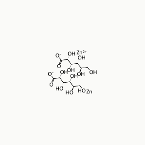 O=C([O-])[C@H](O)[C@@H](O)[C@H](O)[C@H](O)CO.O=C([O-])[C@H](O)[C@@H](O)[C@H](O)[C@H](O)CO.[Zn+2].[Zn]